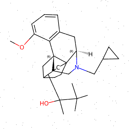 COc1cccc2c1[C@]13CCN(CC4CC4)[C@H](C2)C12CCC(C3)C(C(C)(O)C(C)(C)C)C2